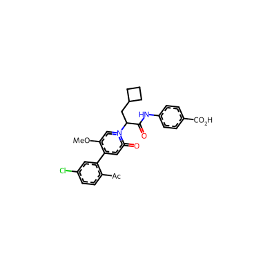 COc1cn(C(CC2CCC2)C(=O)Nc2ccc(C(=O)O)cc2)c(=O)cc1-c1cc(Cl)ccc1C(C)=O